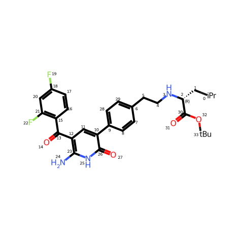 CC(C)C[C@@H](NCCc1ccc(-c2cc(C(=O)c3ccc(F)cc3F)c(N)[nH]c2=O)cc1)C(=O)OC(C)(C)C